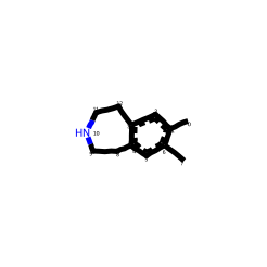 Cc1cc2c(cc1C)CCNCC2